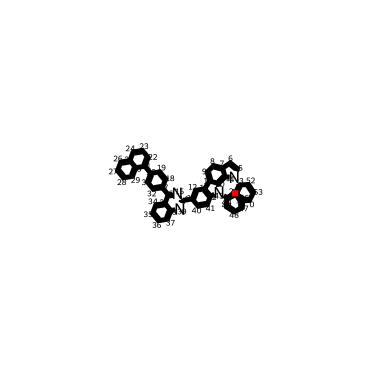 c1ccc(-n2ccc3ccc4c5cc(-c6nc(-c7ccc(-c8cccc9ccccc89)cc7)c7ccccc7n6)ccc5n(-c5ccccc5)c4c32)cc1